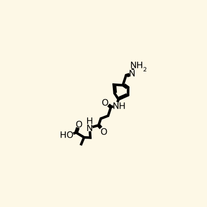 CC(CNC(=O)CCC(=O)Nc1ccc(C=NN)cc1)C(=O)O